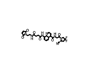 N#C[C@@H]1CC(F)(F)CN1C(=O)CNC(=O)C1=CC=NC2C(NC(=O)CCC(=O)NCCN3C(=O)C=CC3=O)=CC=CC12